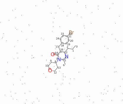 CCCc1nc(C)n(C2CCOCC2)c(=O)c1Cc1ccc(Br)cc1